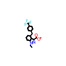 CCn1nc(C(=O)OC)c2c(Cc3ccc(C(F)(F)F)cc3)cccc21